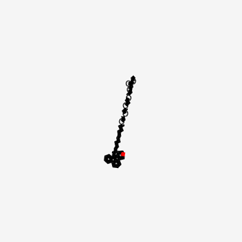 CCOC(=O)COCCOCCOCCOCCOCCCCCCCCCCCSC(c1ccccc1)(c1ccccc1)c1ccccc1